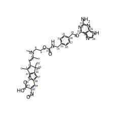 CC1=C(/C=C(\C)N(C)CCOC(=O)NCc2ccc(COc3nc(N)nc4[nH]cnc34)cc2)C(C)(C)c2cc(/C=C(/N=O)C(=O)O)sc21